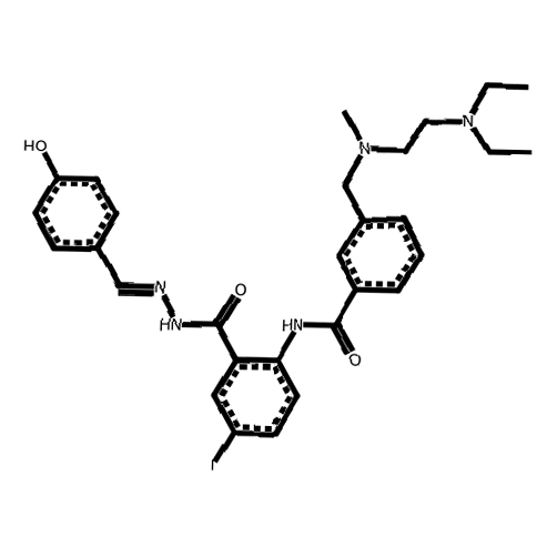 CCN(CC)CCN(C)Cc1cccc(C(=O)Nc2ccc(I)cc2C(=O)N/N=C/c2ccc(O)cc2)c1